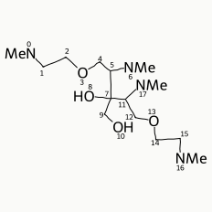 CNCCOCC(NC)C(O)(CO)C(COCCNC)NC